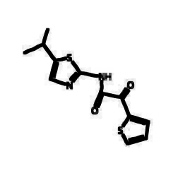 CC(C)c1cnc(NC(=O)C(=O)c2cccs2)s1